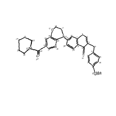 COc1ccc(CC2=CCc3cc(N4CCOc5cc(C(=O)N6CCCCC6)cnc54)ccc3C2=O)cc1